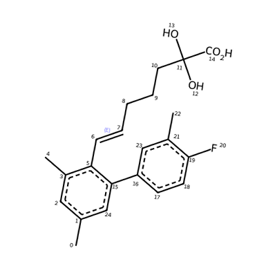 Cc1cc(C)c(/C=C/CCCC(O)(O)C(=O)O)c(-c2ccc(F)c(C)c2)c1